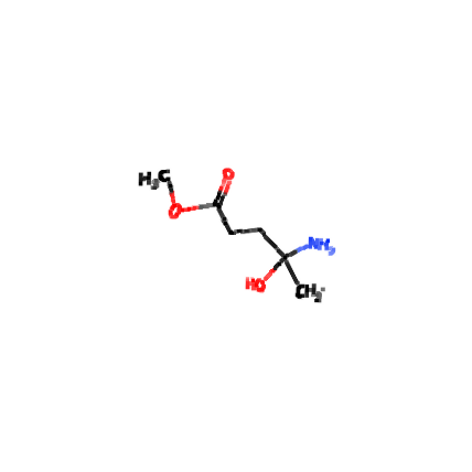 [CH2]C(N)(O)CCC(=O)OC